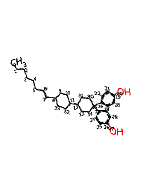 CCCCCCCC[C@H]1CC[C@@H](C2CCC(c3ccc(O)cc3)(c3ccc(O)cc3)CC2)CC1